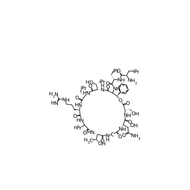 CCCC1NC(=O)[C@@H](CCCNC(=N)N)NC(=O)[C@H](CC(C)C)NC(=O)[C@H]([C@H](O)C(C)C)NC(=O)[C@@H](NC(=O)[C@H](CC(C)C)NC(=O)[C@H](N)CC(C)C)[C@@H](c2ccccc2)OC(=O)[C@H](CO)NC(=O)[C@H]([C@H](O)C(N)=O)NC(=O)CNC(=O)[C@H]([C@H](C)O)NC1=O